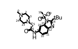 CN1CCN(SC(=O)Nc2ccc3nc(C(C)(C)C)n(S(C)(=O)=O)c3c2)CC1